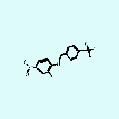 Cc1cc([N+](=O)[O-])ccc1OCc1ccc(C(F)(F)F)cc1